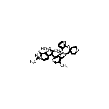 Cc1cnc(C(c2ccn3c(C(F)(F)F)nnc3c2C)C(C)C(=O)O)cc1CN1CC2(CCOCC2)Oc2ncccc2S1(=O)=O